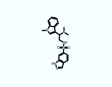 CN(C)C(CNS(=O)(=O)c1ccc2cn[nH]c2c1)c1cn(C)c2ccccc12